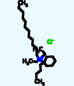 CCCCCCCCCCCC[N+](CC)(CC)C1(CCCC)CCCCC1.[Cl-]